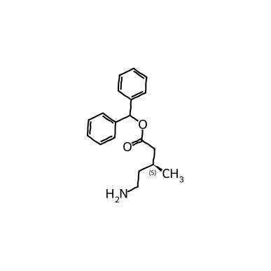 C[C@@H](CCN)CC(=O)OC(c1ccccc1)c1ccccc1